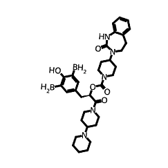 Bc1cc(C[C@@H](OC(=O)N2CCC(N3CCc4ccccc4NC3=O)CC2)C(=O)N2CCC(N3CCCCC3)CC2)cc(B)c1O